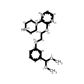 COC(OC)c1cccc(OCCOc2nccnc2N2CCNCC2)c1